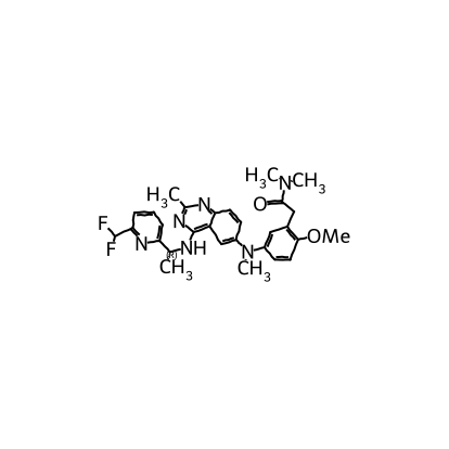 COc1ccc(N(C)c2ccc3nc(C)nc(N[C@H](C)c4cccc(C(F)F)n4)c3c2)cc1CC(=O)N(C)C